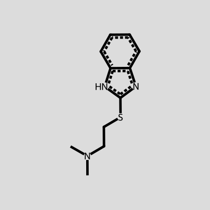 CN(C)CCSc1nc2ccccc2[nH]1